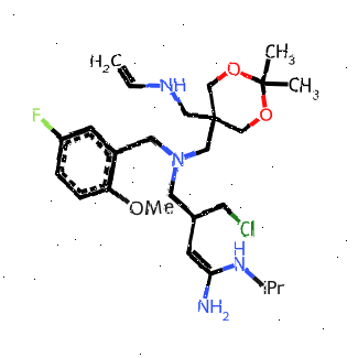 C=CNCC1(CN(Cc2cc(F)ccc2OC)CC(C=C(N)NC(C)C)CCl)COC(C)(C)OC1